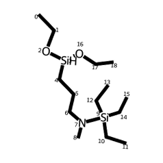 CCO[SiH](CCCN(C)[Si](CC)(CC)CC)OCC